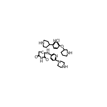 Cl.O=C1CCC(Nc2ccc(N3CCNCC3)nc2)C(=O)N1.c1cc(C2CCNCC2)ccc1OC1CCCNC1